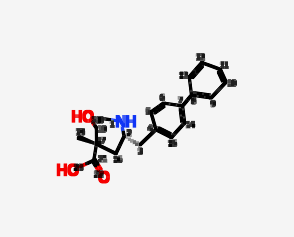 CN[C@H](Cc1ccc(-c2ccccc2)cc1)C[C@@](C)(CO)C(=O)O